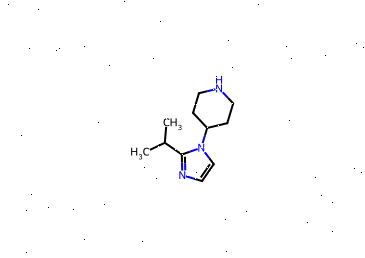 CC(C)c1nccn1C1CCNCC1